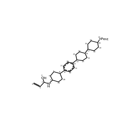 C=CC(O)NC1CCC(c2ccc(C3CCC(C4CCC(CCCCC)CC4)CC3)cc2)CC1